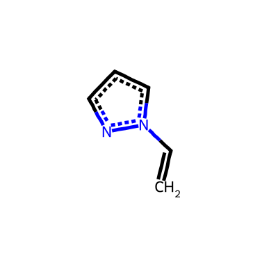 C=Cn1cccn1